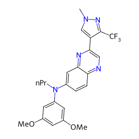 CCCN(c1cc(OC)cc(OC)c1)c1ccc2ncc(-c3cn(C)nc3C(F)(F)F)nc2c1